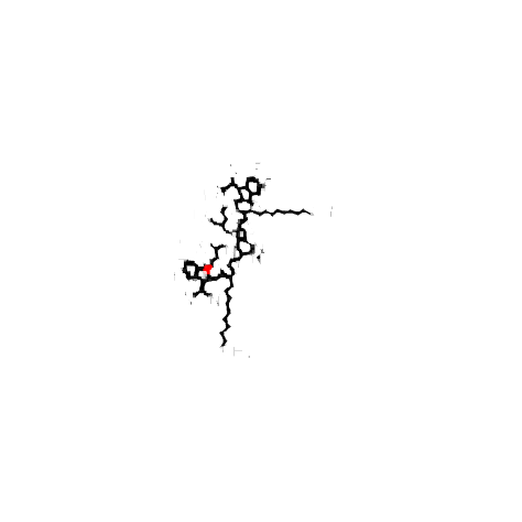 CCCCCCCCCCCc1c(C=C2C(=O)c3cc(F)c(F)cc3C2=C(C#N)C#N)sc2c1sc1c3c4nsnc4c4c5sc6c(CCCCCCCCCCC)c(C=C7C(=O)c8cc(F)c(F)cc8C7=C(C#N)C#N)sc6c5n(CC(CC)CCCC)c4c3n(CC(CC)CCCC)c21